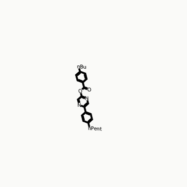 CCCCCc1ccc(-c2cnc(OC(=O)c3ccc(CCCC)cc3)cn2)cc1